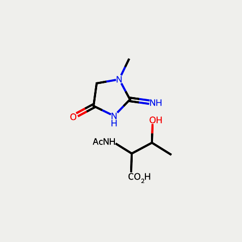 CC(=O)NC(C(=O)O)C(C)O.CN1CC(=O)NC1=N